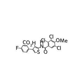 COc1c(Cl)cc(C(=O)Nc2scc(-c3ccc(F)cc3)c2C(=O)O)c(Cl)c1Cl